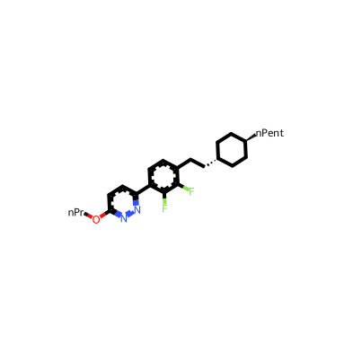 CCCCC[C@H]1CC[C@H](CCc2ccc(-c3ccc(OCCC)nn3)c(F)c2F)CC1